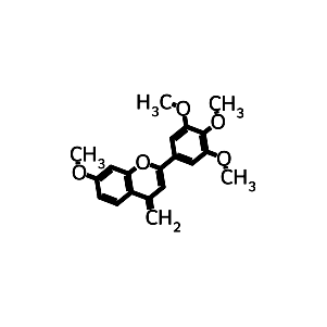 C=C1C=C(c2cc(OC)c(OC)c(OC)c2)Oc2cc(OC)ccc21